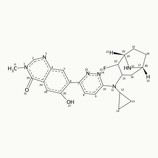 Cn1cnc2cc(-c3ccc(N(C4CC4)C4C[C@H]5CC[C@H](N5)C4F)nn3)c(O)cc2c1=O